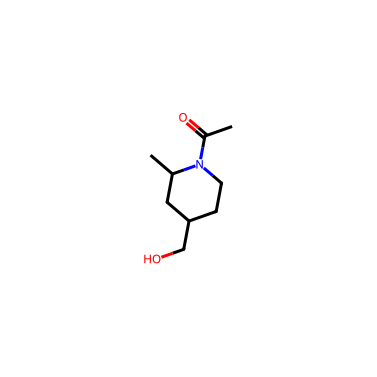 CC(=O)N1CCC(CO)CC1C